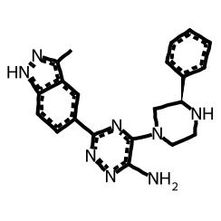 Cc1n[nH]c2ccc(-c3nnc(N)c(N4CCN[C@H](c5ccccc5)C4)n3)cc12